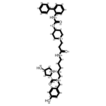 O=C(CCN1CCC(OC(=O)Nc2ccccc2-c2ccccc2)CC1)NCCCCCN(Cc1ccc(O)cc1)C(=O)[C@@H]1C[C@@H](O)CN1